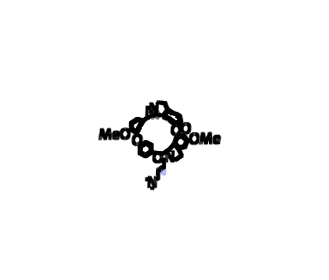 COc1ccc2cc1Oc1ccc(cc1)CC1c3c(cc(OC)c4c3Oc3cc5c(cc3O4)CCN(C)[C@H]5C2)CCN1C(=O)/C=C/CN(C)C